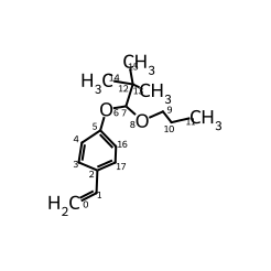 C=Cc1ccc(OC(OCCC)C(C)(C)C)cc1